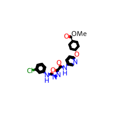 COC(=O)[C@H]1CC[C@H](Oc2ccc(NC(=O)c3nnc(Nc4cccc(Cl)c4)o3)cn2)CC1